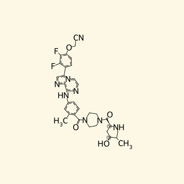 Cc1cc(Nc2nccn3c(-c4ccc(OCC#N)c(F)c4F)cnc23)ccc1C(=O)N1CCN(C(=O)[C@@H]2C[C@H](O)C(C)CN2)CC1